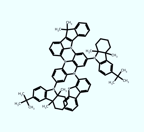 CC(C)(C)c1ccc2c(c1)C1(C)CCCCC1(C)N2c1ccc2c(c1)N(c1cccc3c1sc1ccccc13)c1cc(N3c4ccc(C(C)(C)C)cc4C4(C)CCCCC34C)cc3c1B2c1cccc2c4c(n-3c12)-c1ccccc1C4(C)C